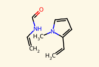 C=CNC=O.C=Cc1cccn1C